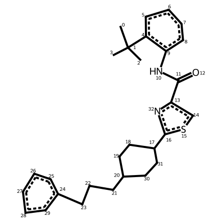 CC(C)(C)c1ccccc1NC(=O)c1csc(C2CCC(CCCc3ccccc3)CC2)n1